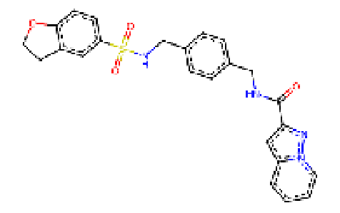 O=C(NCc1ccc(CNS(=O)(=O)c2ccc3c(c2)CCO3)cc1)c1cc2ccccn2n1